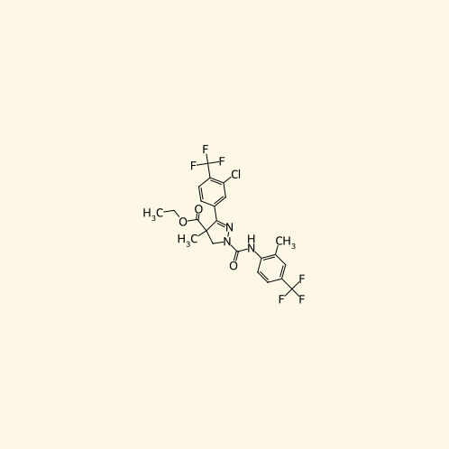 CCOC(=O)C1(C)CN(C(=O)Nc2ccc(C(F)(F)F)cc2C)N=C1c1ccc(C(F)(F)F)c(Cl)c1